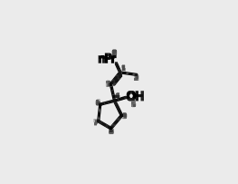 CCC/C(C)=C/C1(O)CCCC1